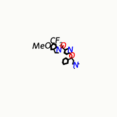 COc1cc2c(cc1C(F)(F)F)N(C(=O)c1ccc(OC(CCN(C)C)c3ccccc3)nc1)CC2